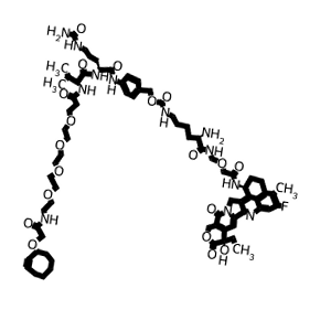 CC[C@@]1(O)C(=O)OCc2c1cc1n(c2=O)Cc2c-1nc1cc(F)c(C)c3c1c2[C@@H](NC(=O)COCNC(=O)[C@@H](N)CCCCNC(=O)OCc1ccc(NC(=O)[C@H](CCCNC(N)=O)NC(=O)[C@@H](NC(=O)CCOCCOCCOCCOCCNC(=O)COC2C#CCCCCC2)C(C)C)cc1)CC3